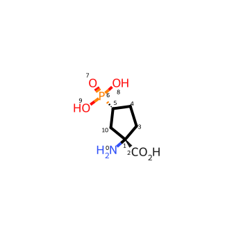 N[C@@]1(C(=O)O)CC[C@@H](P(=O)(O)O)C1